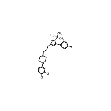 CC(C)(C)n1nc(CCCN2CCN(c3ccc(Cl)c(Cl)c3)CC2)cc1-c1ccc(F)cc1